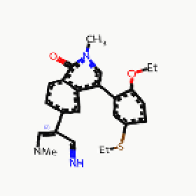 CCOc1ccc(SCC)cc1-c1cn(C)c(=O)c2ccc(/C(C=N)=C/NC)cc12